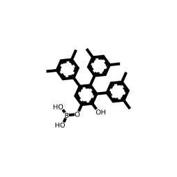 Cc1cc(C)cc(-c2cc(OB(O)O)c(O)c(-c3cc(C)cc(C)c3)c2-c2cc(C)cc(C)c2)c1